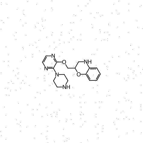 c1ccc2c(c1)NCC(COc1nccnc1N1CCNCC1)O2